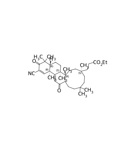 CCOC(=O)CC[C@@]1(C)CCC(C)(C)CCC2C(=O)C=C3[C@@]4(C)C=C(C#N)C(=O)C(C)(C)[C@@H]4CC[C@@]3(C)[C@]2(C)CC1